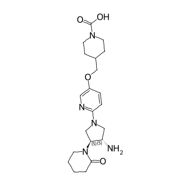 N[C@H]1CN(c2ccc(OCC3CCN(C(=O)O)CC3)cn2)C[C@@H]1N1CCCCC1=O